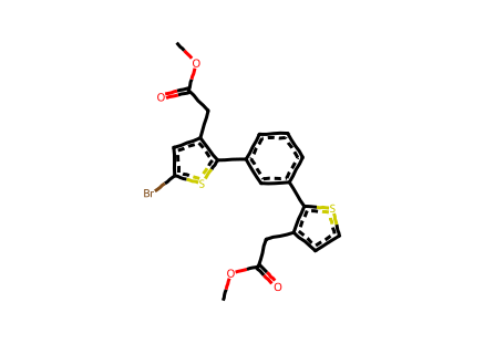 COC(=O)Cc1ccsc1-c1cccc(-c2sc(Br)cc2CC(=O)OC)c1